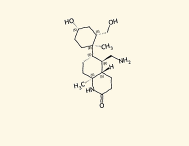 C[C@]1([C@H]2CC[C@]3(C)NC(=O)CC[C@H]3[C@@H]2CN)CC[C@H](O)C[C@@H]1CO